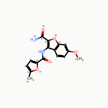 COc1ccc2c(NC(=O)c3ccc(C)o3)c(C(N)=O)oc2c1